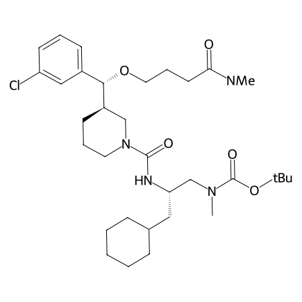 CNC(=O)CCCO[C@@H](c1cccc(Cl)c1)[C@@H]1CCCN(C(=O)N[C@@H](CC2CCCCC2)CN(C)C(=O)OC(C)(C)C)C1